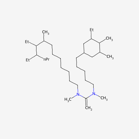 C=C(N(C)CCCCCCCC(C)C(CC)C(CC)CCC)N(C)CCCCCC1CC(C)C(C)C(CC)C1